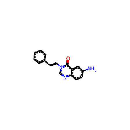 Nc1ccc2ncn(C=Cc3ccccc3)c(=O)c2c1